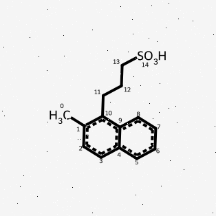 Cc1ccc2ccccc2c1CCCS(=O)(=O)O